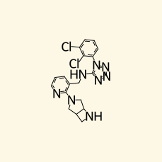 Clc1cccc(-n2nnnc2NCc2cccnc2N2CC3CNC3C2)c1Cl